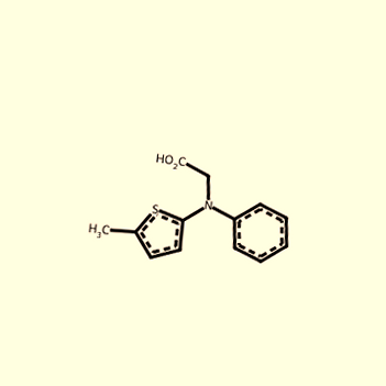 Cc1ccc(N(CC(=O)O)c2ccccc2)s1